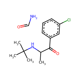 CC(NC(C)(C)C)C(=O)c1cccc(Cl)c1.NC=O